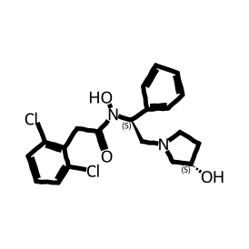 O=C(Cc1c(Cl)cccc1Cl)N(O)[C@H](CN1CC[C@H](O)C1)c1ccccc1